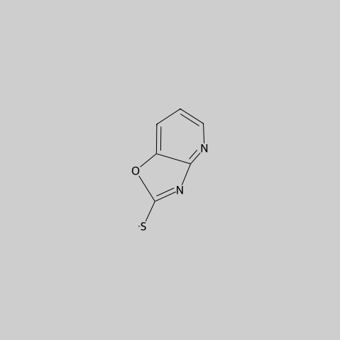 [S]c1nc2ncccc2o1